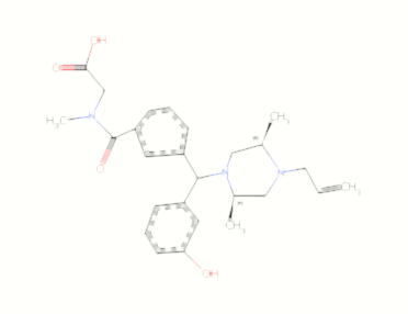 C=CCN1C[C@@H](C)N(C(c2cccc(O)c2)c2cccc(C(=O)N(C)CC(=O)O)c2)C[C@H]1C